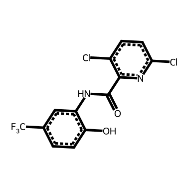 O=C(Nc1cc(C(F)(F)F)ccc1O)c1nc(Cl)ccc1Cl